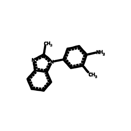 Cc1cc(-n2c(C)nc3ccccc32)ccc1N